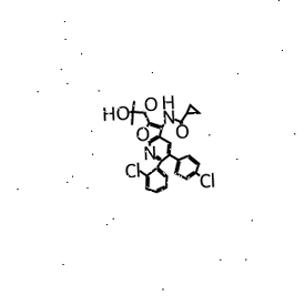 CC(C)(O)C(=O)c1oc2nc(-c3ccccc3Cl)c(-c3ccc(Cl)cc3)cc2c1NC(=O)C1CC1